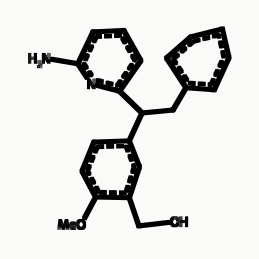 COc1ccc(C(Cc2ccccc2)c2cccc(N)n2)cc1CO